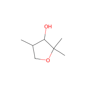 CC1COC(C)(C)C1O